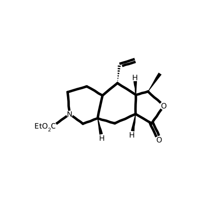 C=C[C@H]1C2CCN(C(=O)OCC)C[C@H]2C[C@H]2C(=O)O[C@H](C)[C@H]21